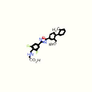 COCc1cc(-c2nc(-c3cc(F)c(CNCC(=O)O)c(F)c3)no2)ccc1-c1ccccc1C